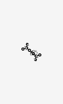 CCC(CC)(c1ccc(-c2cc(-c3cccs3)nc(-c3ccccc3)n2)cc1)c1ccc(-c2cc(-c3cccs3)nc(-c3ccccc3)n2)cc1